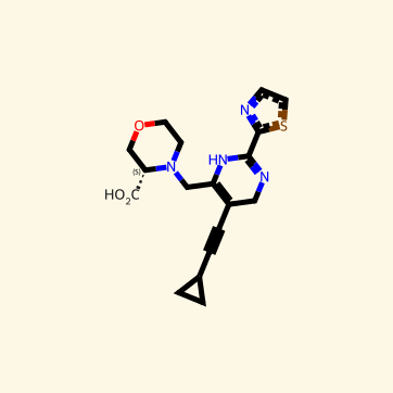 O=C(O)[C@@H]1COCCN1CC1=C(C#CC2CC2)CN=C(c2nccs2)N1